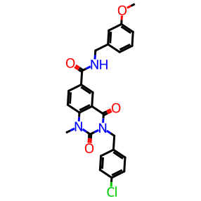 COc1cccc(CNC(=O)c2ccc3c(c2)c(=O)n(Cc2ccc(Cl)cc2)c(=O)n3C)c1